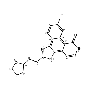 O=c1[nH]ccc2c3[nH]c(SCC4OCCO4)nc3c3ccc(F)cc3c12